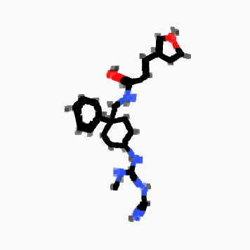 CN/C(=N\C#N)N[C@H]1CC[C@](CNC(=O)/C=C/C2=COCC2)(c2ccccc2)CC1